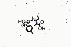 CC/C(=C(/C)C(=O)O)N(C)C.Cc1ccc(S(=O)(=O)O)cc1